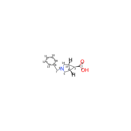 O=C(O)[C@H]1[C@@H]2CN(Cc3ccccc3)C[C@@H]21